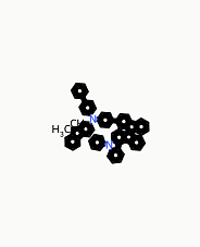 CC1(C)c2ccccc2-c2ccc(N(c3ccc(-c4ccccc4)cc3)c3ccc(-c4ccc5c(c4)C4(c6ccccc6-5)c5ccccc5-c5c4ccc4c5c5ccccc5n4-c4ccccc4)cc3)cc21